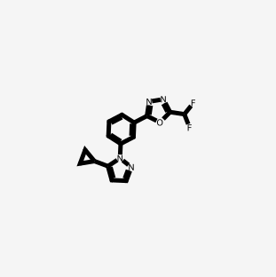 FC(F)c1nnc(-c2cccc(-n3nccc3C3CC3)c2)o1